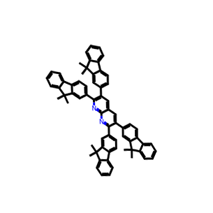 CC1(C)c2ccccc2-c2ccc(-c3cc4cc(-c5ccc6c(c5)C(C)(C)c5ccccc5-6)c(-c5ccc6c(c5)C(C)(C)c5ccccc5-6)nc4nc3-c3ccc4c(c3)C(C)(C)c3ccccc3-4)cc21